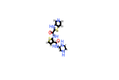 O=C(NC1CNCCN1)c1ccsc1NC(=O)C1Nc2cnccc2S1